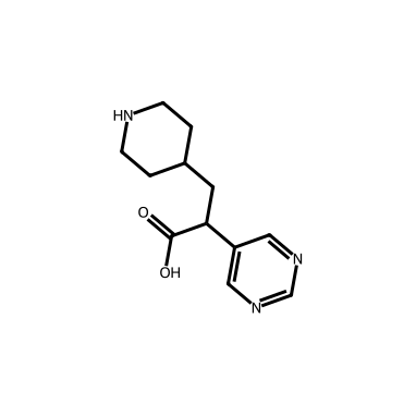 O=C(O)C(CC1CCNCC1)c1cncnc1